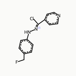 FCc1ccc(N/N=C(\Cl)c2ccncc2)cc1